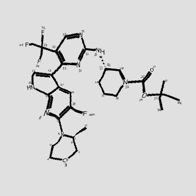 C[C@H]1COCCN1c1nc2[nH]cc(-c3nc(N[C@H]4CCCN(C(=O)OC(C)(C)C)C4)ncc3C(F)(F)F)c2cc1F